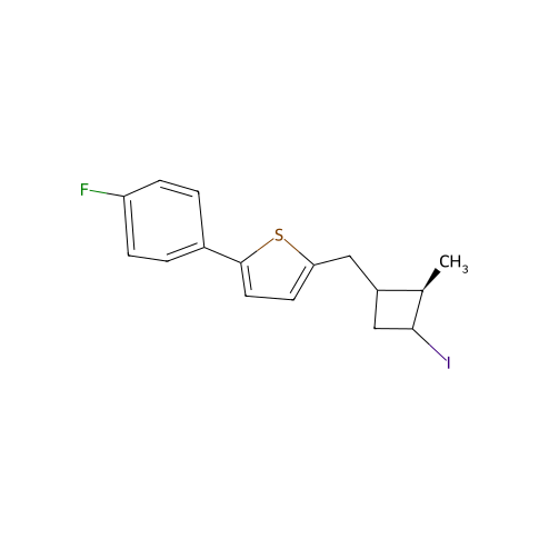 C[C@H]1C(I)CC1Cc1ccc(-c2ccc(F)cc2)s1